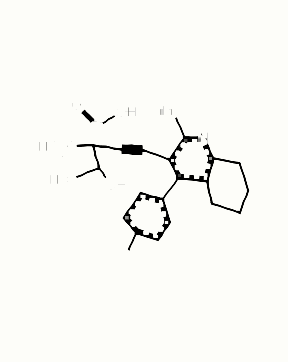 CC(C)c1nc2c(c(-c3ccc(F)cc3)c1C#CC(C(=O)O)(C(C)O)[PH](=O)O)CCCC2